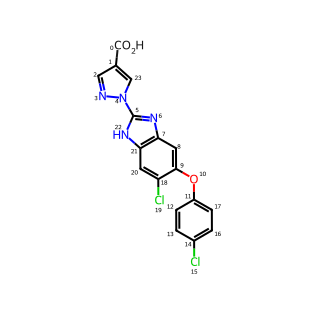 O=C(O)c1cnn(-c2nc3cc(Oc4ccc(Cl)cc4)c(Cl)cc3[nH]2)c1